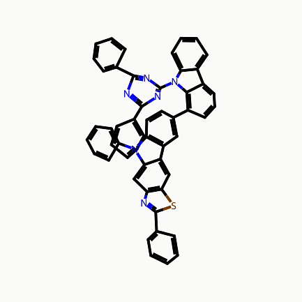 c1ccc(-c2nc(-c3ccccc3)nc(-n3c4ccccc4c4cccc(-c5ccc6c(c5)c5cc7sc(-c8ccccc8)nc7cc5n6-c5ccccc5)c43)n2)cc1